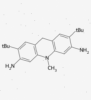 CN1c2cc(N)c(C(C)(C)C)cc2Cc2cc(C(C)(C)C)c(N)cc21